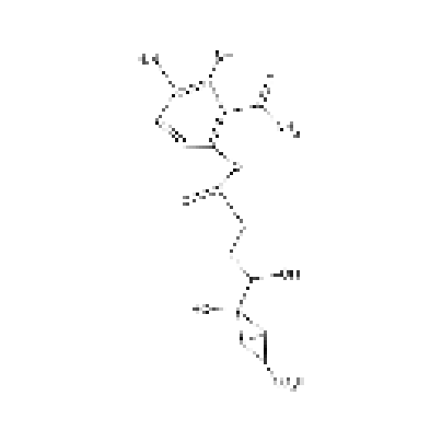 NC(=O)c1c(OC(=O)CCC(O)C2(O)C3C(C(=O)O)C32)ccc(N)c1O